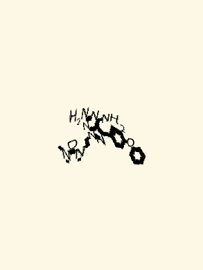 CN(C)C(=O)N(C)CCn1nc(-c2ccc(Oc3ccccc3)cc2)c2c(N)nc(N)nc21